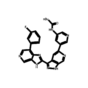 CCCCC(=O)Nc1cncc(-c2cc3c(-c4nc5c(-c6cccc(F)c6)cncc5[nH]4)n[nH]c3cn2)c1